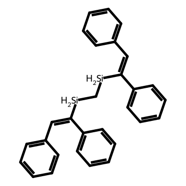 C(=C([SiH2]C[SiH2]C(=Cc1ccccc1)c1ccccc1)c1ccccc1)c1ccccc1